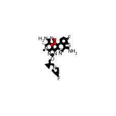 C[C@H](c1cccnc1N)N(C)c1nc(OCC2(CN3CC4C(F)C4C3)CC2)nc2c(F)c(-c3ccc(F)c4sc(N)c(C#N)c34)c(Cl)cc12